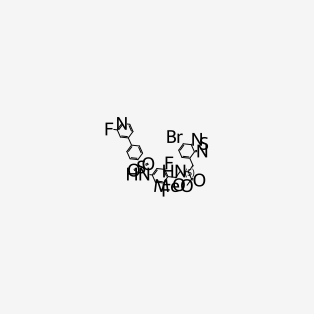 COC(=O)[C@H](Cc1ccc(Br)c2nsnc12)NC(=O)c1c(F)cc(NS(=O)(=O)c2ccc(-c3ccnc(F)c3)cc2)cc1F